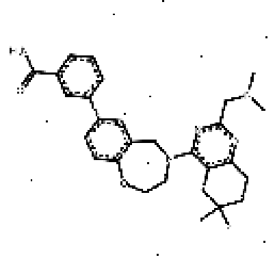 CN(C)Cc1nc2c(c(N3CCOc4ccc(-c5cccc(C(N)=O)c5)cc4C3)n1)CC(C)(C)CC2